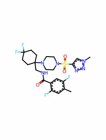 Cc1cc(F)c(C(=O)NCC2(N3CCN(S(=O)(=O)c4cn(C)nn4)CC3)CCC(F)(F)CC2)cc1F